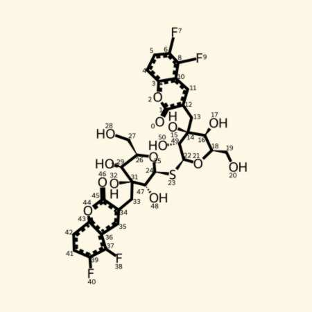 O=c1oc2ccc(F)c(F)c2cc1C[C@]1(O)[C@@H](O)[C@@H](CO)O[C@@H](S[C@@H]2O[C@H](CO)[C@H](O)[C@@](O)(Cc3cc4c(F)c(F)ccc4oc3=O)[C@H]2O)[C@@H]1O